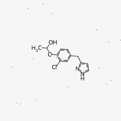 CC(O)Oc1ccc(Cc2cc[nH]n2)cc1Cl